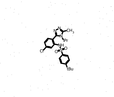 Cc1nnc(-c2ccc(Cl)cc2NS(=O)(=O)c2ccc(C(C)(C)C)cc2)n1C(C)C